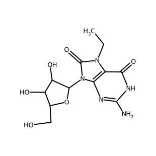 CCn1c(=O)n(C2OC(CO)C(O)C2O)c2nc(N)[nH]c(=O)c21